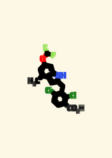 Cc1cc(OC(F)F)cc2[nH]c(Cc3c(Cl)ccc(C(=O)O)c3Cl)cc12